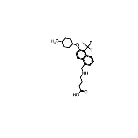 C[C@H]1CC[C@@H](Oc2ccc3c(CNCCCC(=O)O)cccc3c2C(F)(F)F)CC1